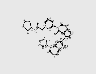 Fc1c(-c2cncc(CNCC3CCCC3)c2)ccc2[nH]nc(-c3nc4c(-c5ccncc5)ccnc4[nH]3)c12